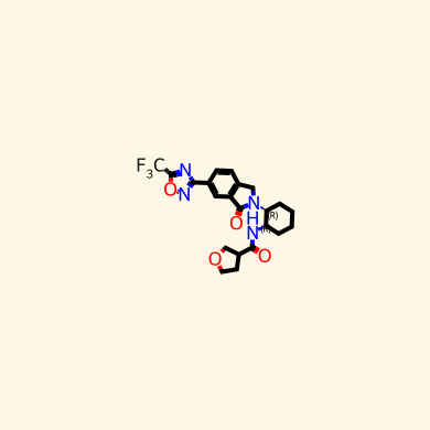 O=C(N[C@@H]1CCCC[C@H]1N1Cc2ccc(-c3noc(C(F)(F)F)n3)cc2C1=O)C1CCOC1